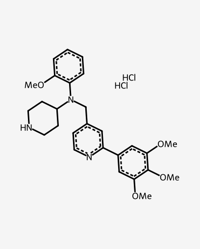 COc1ccccc1N(Cc1ccnc(-c2cc(OC)c(OC)c(OC)c2)c1)C1CCNCC1.Cl.Cl